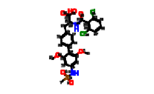 COc1cc(NS(C)(=O)=O)cc(OC)c1-c1ccc(C[C@H](NC(=O)c2c(Cl)cccc2Cl)C(=O)O)cc1